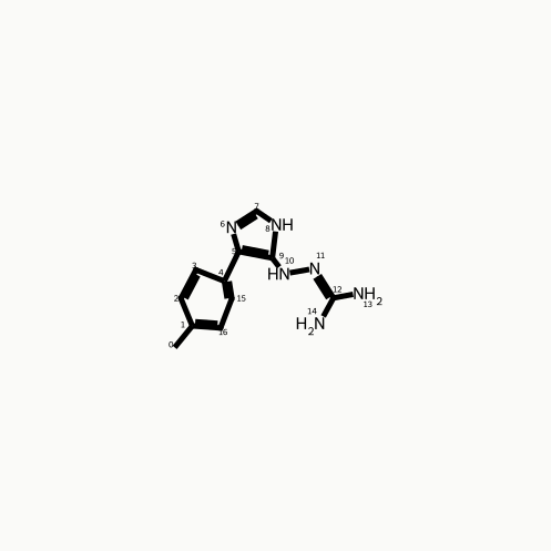 Cc1ccc(-c2nc[nH]c2NN=C(N)N)cc1